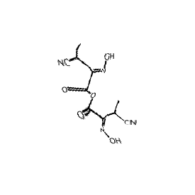 CC(C#N)/C(=N\O)C(=O)OC(=O)/C(=N/O)C(C)C#N